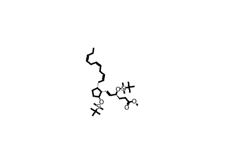 CC/C=C\C/C=C\C/C=C\C[C@H]1CC[C@H](O[Si](C)(C)C(C)(C)C)[C@H]1/C=C/[C@H](CCC(=O)OC)O[Si](C)(C)C(C)(C)C